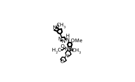 C=CC(=O)Nc1cc(Nc2cc(-c3ccc4c(cnn4C)c3)ncn2)c(OC)cc1N(C)C1CCN(C2CCOCC2)CC1